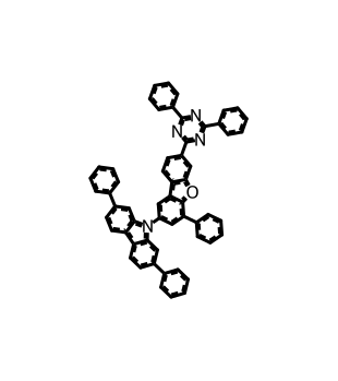 c1ccc(-c2ccc3c4ccc(-c5ccccc5)cc4n(-c4cc(-c5ccccc5)c5oc6cc(-c7nc(-c8ccccc8)nc(-c8ccccc8)n7)ccc6c5c4)c3c2)cc1